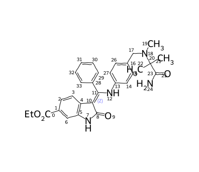 CCOC(=O)c1ccc2c(c1)NC(=O)/C2=C(\Nc1ccc(CN(C)C(C)(C)C(N)=O)cc1)c1ccccc1